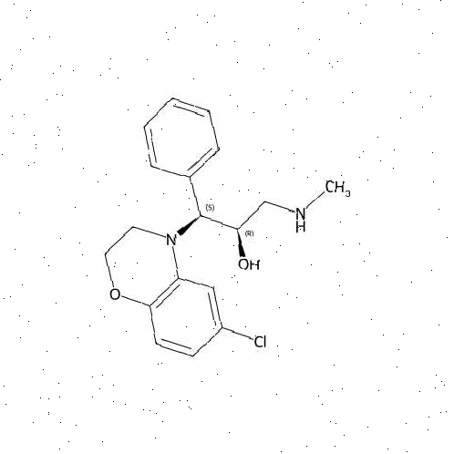 CNC[C@@H](O)[C@H](c1ccccc1)N1CCOc2ccc(Cl)cc21